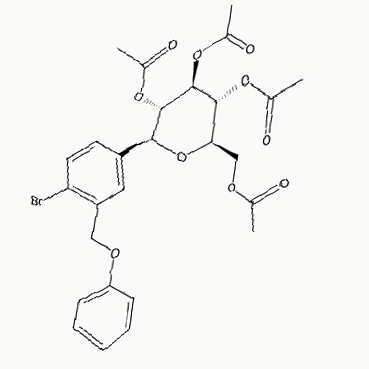 CC(=O)OC[C@H]1O[C@@H](c2ccc(Br)c(COc3ccccc3)c2)[C@H](OC(C)=O)[C@@H](OC(C)=O)[C@@H]1OC(C)=O